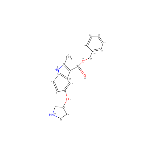 Cc1[nH]c2ccc(OC3CCNC3)cc2c1C(=O)OCc1ccccc1